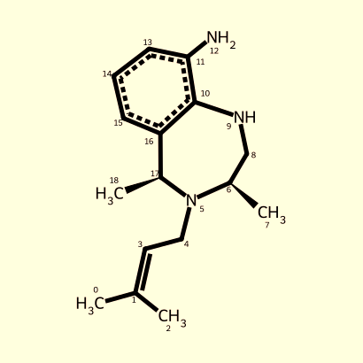 CC(C)=CCN1[C@H](C)CNc2c(N)cccc2[C@@H]1C